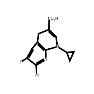 O=C(O)C1=CN(C2CC2)c2nc(Cl)c(F)cc2C1